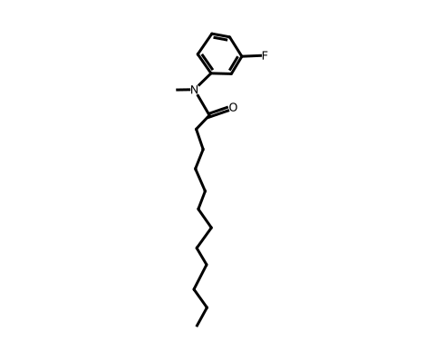 CCCCCCCCCCCC(=O)N(C)c1cccc(F)c1